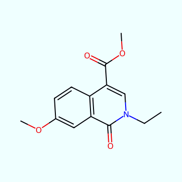 CCn1cc(C(=O)OC)c2ccc(OC)cc2c1=O